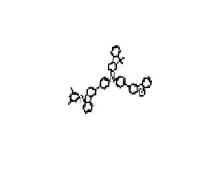 Cc1cc(C)cc(-n2c3ccccc3c3cc(-c4ccc(N(c5ccc(-c6ccc7oc8ccccc8c7c6)cc5)c5ccc6c(c5)C(C)(C)c5ccccc5-6)cc4)ccc32)c1